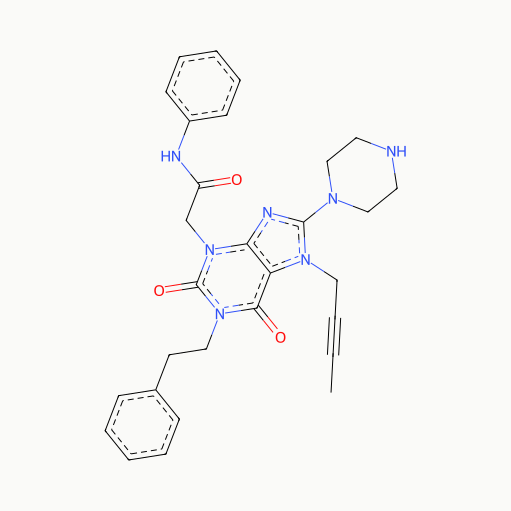 CC#CCn1c(N2CCNCC2)nc2c1c(=O)n(CCc1ccccc1)c(=O)n2CC(=O)Nc1ccccc1